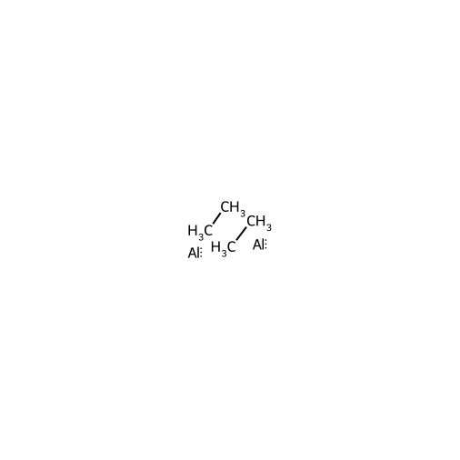 CC.CC.[Al].[Al]